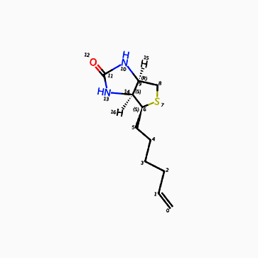 C=CCCCC[C@@H]1SC[C@@H]2NC(=O)N[C@@H]21